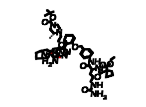 CCOC(=O)C1(C(=O)NC(CCCNC(N)=O)C(=O)Nc2ccc(COc3ccccc3-c3cc(N4CC5CCC(C4)N5c4ccnc(OCCN5CCN(C(=O)OC(C)(C)C)C[C@H]5C)c4)c(N)nn3)cc2)CCC1